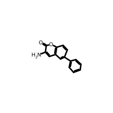 Nc1cc2cc(-c3ccccc3)ccc2oc1=O